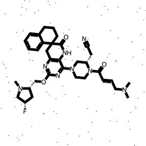 CN(C)C/C=C/C(=O)N1CCN(c2nc(OC[C@@H]3C[C@H](F)CN3C)nc3c2NC(=O)C2(CCCc4ccccc42)C3)C[C@@H]1CC#N